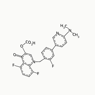 CN(C)c1ccc(-c2ccc(Cn3cc(OC(=O)O)c(=O)c4c(F)ccc(F)c43)c(F)c2)cn1